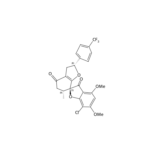 COc1cc(OC)c2c(c1Cl)O[C@]1(C2=O)C2=C(C[C@H](c3ccc(C(F)(F)F)cc3)O2)C(=O)C[C@H]1C